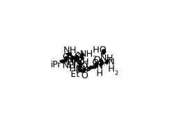 CC[C@H](NC(=O)[C@H](CCN)NC(=O)[C@H](CCN)NC(=O)[C@@H](N)CC(C)C)C(=O)NCCCC(=O)N[C@@H](CCN)C(=O)NCCO